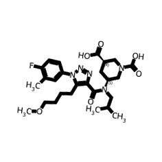 COCCCCc1c(C(=O)N(CC(C)C)[C@H]2C[C@@H](C(=O)O)CN(C(=O)O)C2)nnn1-c1ccc(F)c(C)c1